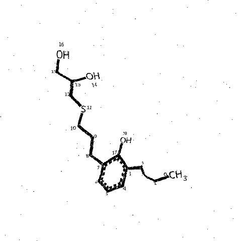 CCCc1cccc(CCCSCC(O)CO)c1O